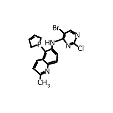 Cc1ccc2c(P3CC=CC3)c(Nc3nc(Cl)ncc3Br)ccc2n1